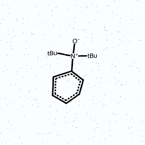 CC(C)(C)[N+]([O-])(c1ccccc1)C(C)(C)C